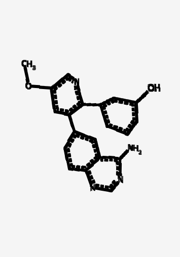 COc1cnc(-c2cccc(O)c2)c(-c2ccc3ncnc(N)c3c2)c1